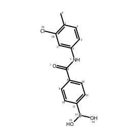 Cc1ccc(NC(=O)c2ccc(B(O)O)cc2)cc1Cl